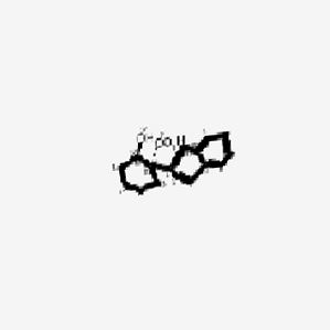 O=C(O)[C@]1(c2ccc3ccccc3c2)CCCC[C@H]1O